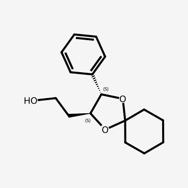 OCC[C@@H]1OC2(CCCCC2)O[C@H]1c1ccccc1